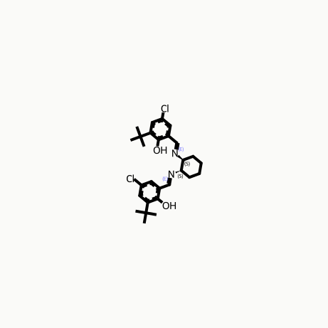 CC(C)(C)c1cc(Cl)cc(/C=N/[C@H]2CCCC[C@@H]2/N=C/c2cc(Cl)cc(C(C)(C)C)c2O)c1O